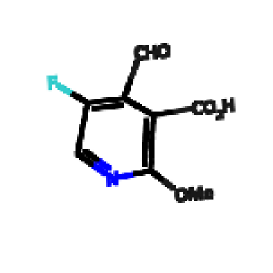 COc1ncc(F)c(C=O)c1C(=O)O